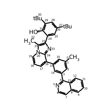 Cc1cc(-c2nccc3ccccc23)cc(-c2cccn3c(C)c(-c4cc(C(C)(C)C)cc(C(C)(C)C)c4O)nc23)c1